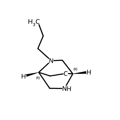 CCCN1C[C@H]2CC[C@@H]1CN2